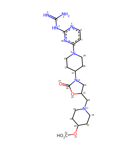 N=C(N)Nc1nccc(N2CCC(N3CC(CN4CCC(OC(=O)O)CC4)OC3=O)CC2)n1